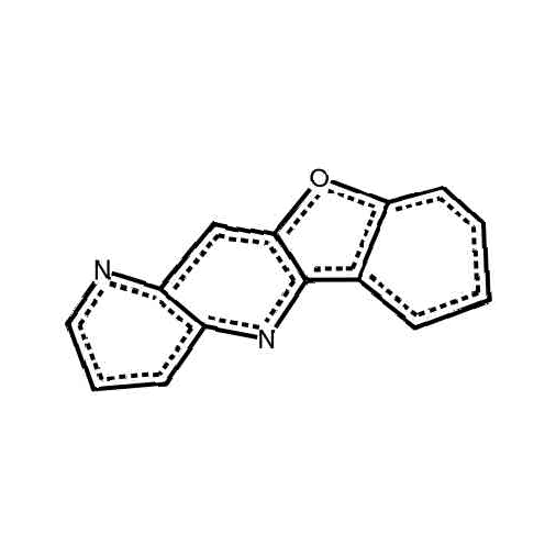 c1cnc2cc3oc4ccccc4c3nc2c1